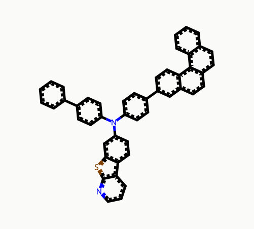 c1ccc(-c2ccc(N(c3ccc(-c4ccc5c(ccc6ccc7ccccc7c65)c4)cc3)c3ccc4c(c3)sc3ncccc34)cc2)cc1